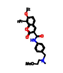 CCCc1c(OCC)ccc2cc(C(=O)Nc3ccc(CN(C)CCOC)cc3)c(=O)oc12